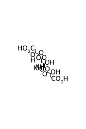 O=C(O)C[C@H](O)C(=O)OC(=O)CC(O)C(=O)OC(=O)[C@@H](O)CC(=O)O.[KH].[KH]